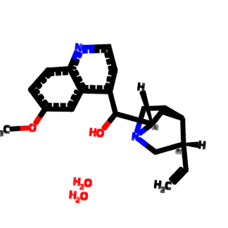 C=C[C@@H]1CN2CCC1C[C@H]2C(O)c1ccnc2ccc(OC)cc12.O.O